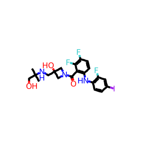 CC(C)(CO)NCC1(O)CN(C(=O)c2c(Nc3ccc(I)cc3F)ccc(F)c2F)C1